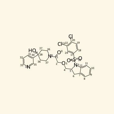 O=C(COCC1Cc2ccccc2N1S(=O)(=O)c1ccc(Cl)c(Cl)c1)N1CCC(O)(c2cccnc2)CC1